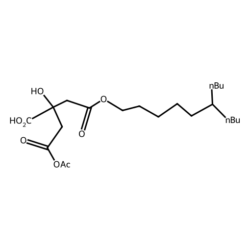 CCCCC(CCCC)CCCCCOC(=O)CC(O)(CC(=O)OC(C)=O)C(=O)O